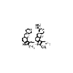 CCc1c(C)[nH]c2c1C(=O)C(CN1CCOCC1)CC2.CCc1c(C)[nH]c2c1C(=O)C(CN1CCOCC1)CC2.Cl.Cl